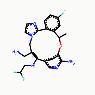 CC1Oc2cc(cnc2N)/C(NCC(F)F)=C(/CN)Cn2ccnc2-c2ccc(F)cc21